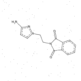 Nc1ccn(CCN2C(=O)c3ccccc3C2=O)n1